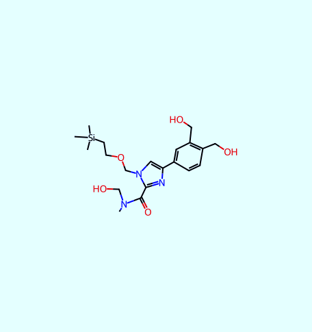 CN(CO)C(=O)c1nc(-c2ccc(CO)c(CO)c2)cn1COCC[Si](C)(C)C